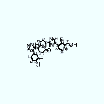 O=C1C[C@H](c2c(-n3cnnn3)ccc(Cl)c2F)C[C@H]2CC[C@@H](c3ncc(-c4ccnc(CO)c4F)[nH]3)N12